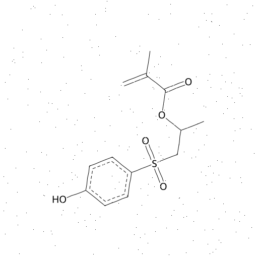 C=C(C)C(=O)OC(C)CS(=O)(=O)c1ccc(O)cc1